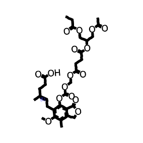 CCC(=O)OCC(COC(C)=O)OC(=O)CCC(=O)OCOC(=O)Oc1c(C/C=C(\C)CCC(=O)O)c(OC)c(C)c2c1C(=O)OC2